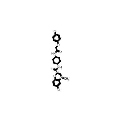 CN1C[C@@H](C(=O)N[C@H]2CC[C@H](NC(=O)COc3ccc(Cl)cc3)CC2)Oc2ccc(Cl)cc21